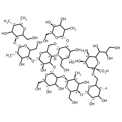 CC1C(O)[C@H](O)[C@H](CO)O[C@H]1O[C@@H]1C(O)[C@H](O)C(CO)O[C@@H]1OCC1O[C@@H](O[C@@H]2C(CO)O[C@@H](O[C@@H]3C(CO)O[C@@H](C)[C@@H](C)C3O)[C@@H](C)C2O)[C@H](O)C(O[C@H]2O[C@H](CO)[C@@H](O)C(O)C2O[C@@H]2OC(CO)[C@H](O[C@@H]3OC(CO[C@]4(C(=O)O)C[C@@H](O)[C@@H](N)C(C(O)C(O)CO)O4)[C@H](I)C(O)[C@@H]3O)C(O)[C@@H]2C)[C@@H]1O